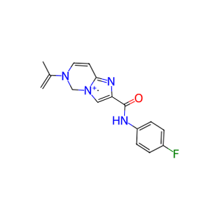 C=C(C)N1C=CC2=NC(C(=O)Nc3ccc(F)cc3)=C[N+]2C1